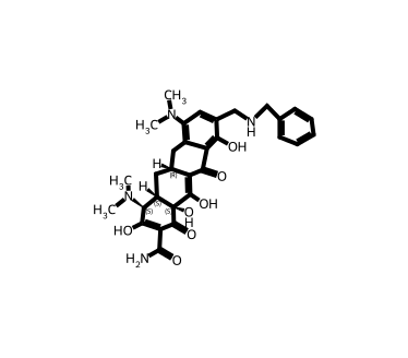 CN(C)c1cc(CNCc2ccccc2)c(O)c2c1C[C@H]1C[C@H]3[C@H](N(C)C)C(O)=C(C(N)=O)C(=O)[C@@]3(O)C(O)=C1C2=O